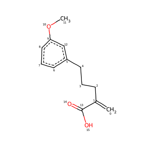 C=C(CCCc1cccc(OC)c1)C(=O)O